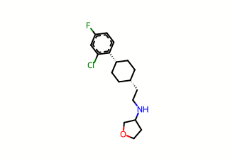 Fc1ccc([C@H]2CC[C@@H](CCNC3CCOC3)CC2)c(Cl)c1